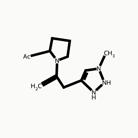 C=C(CC1=CN(C)NN1)N1CCCC1C(C)=O